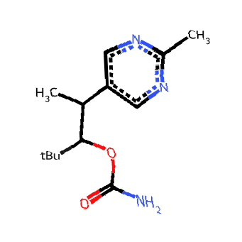 Cc1ncc(C(C)C(OC(N)=O)C(C)(C)C)cn1